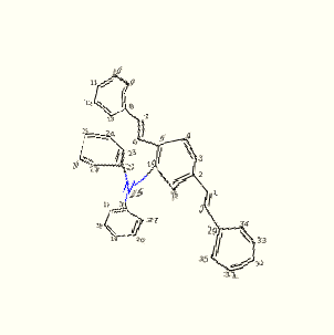 C(=Cc1ccc(C=Cc2ccccc2)c(N(c2ccccc2)c2ccccc2)c1)c1ccccc1